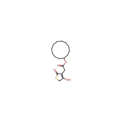 O=C(CC1=C(O)CSC1=O)OC1CCCCCCCCCCC1